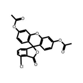 CC(=O)Oc1ccc2c(c1)Oc1cc(OC(C)=O)ccc1C21OC(=O)c2c(Cl)cccc21